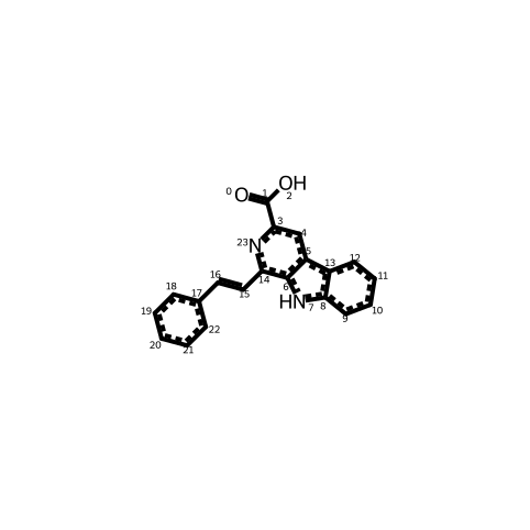 O=C(O)c1cc2c([nH]c3ccccc32)c(C=Cc2ccccc2)n1